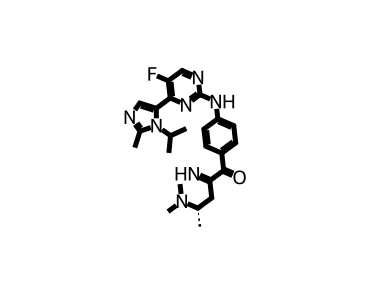 Cc1ncc(-c2nc(Nc3ccc(C(=O)C(=N)C[C@H](C)N(C)C)cc3)ncc2F)n1C(C)C